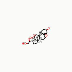 O=C1C=C2C3C[C@@H]4[C@H](C5C[C@]6(C(=O)O5)[C@@H](C(=O)CO)CC[C@@H]46)[C@]2(CC1)CO3